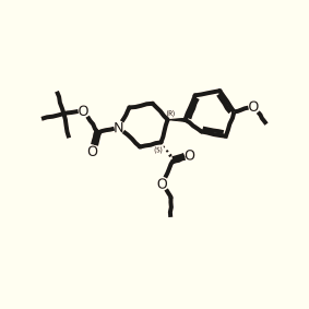 CCOC(=O)[C@@H]1CN(C(=O)OC(C)(C)C)CC[C@H]1c1ccc(OC)cc1